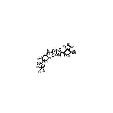 C[C@H]1C[C@H](N(C)c2nc3sc(-c4ncc(Br)c5c4CC=C5)nc3s2)CCN1C(=O)OC(C)(C)C